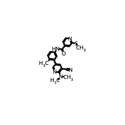 CSc1cc(C(=O)Nc2ccc(C)c(-c3cnc(N(C)C)c(C#N)c3)c2)ccn1